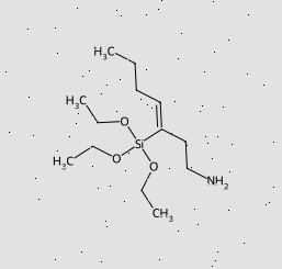 CCCC=C(CCN)[Si](OCC)(OCC)OCC